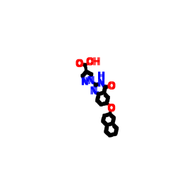 O=C(O)c1cnn(-c2nc3ccc(Oc4ccc5ccccc5c4)cc3c(=O)[nH]2)c1